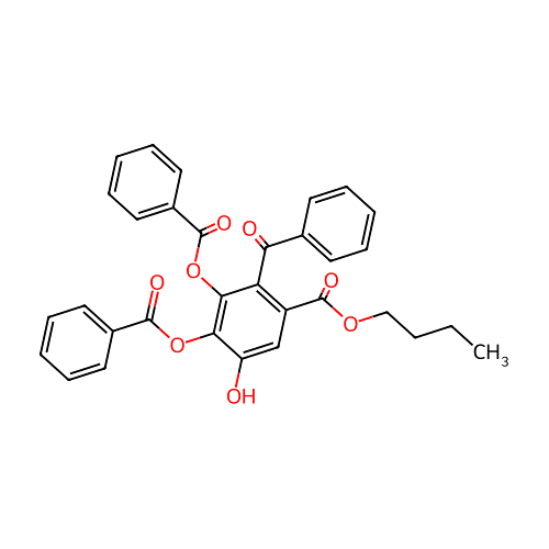 CCCCOC(=O)c1cc(O)c(OC(=O)c2ccccc2)c(OC(=O)c2ccccc2)c1C(=O)c1ccccc1